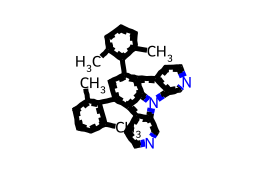 Cc1cccc(C)c1-c1cc(-c2c(C)cccc2C)c2c3ccncc3n3c4cnccc4c1c23